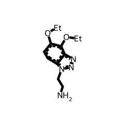 CCOc1ccc2c(nnn2CCN)c1OCC